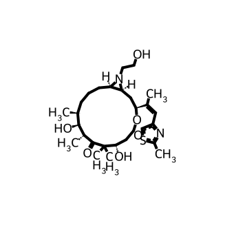 C/C(=C/c1csc(C)n1)[C@@H]1C[C@H]2[C@@H](CCC[C@H](C)[C@H](O)[C@@H](C)C(=O)C(C)(C)[C@@H](O)CC(=O)O1)N2CCO